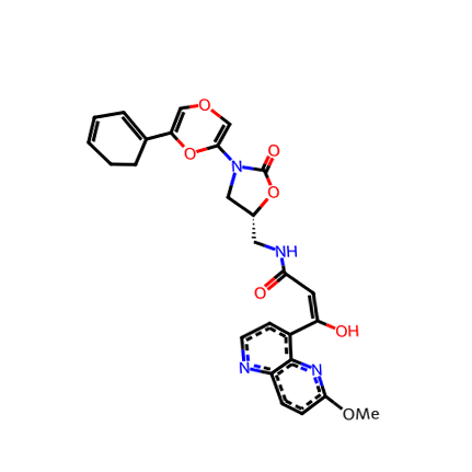 COc1ccc2nccc(/C(O)=C\C(=O)NC[C@@H]3CN(C4=COC=C(C5=CC=CCC5)O4)C(=O)O3)c2n1